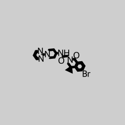 O=C(CN1CC2(CC2)c2cc(Br)ccc2C1=O)NC1CCN(c2ncccn2)CC1